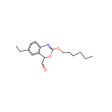 CCCCCCOC1=Nc2ccc(CC)cc2C(C=O)O1